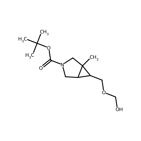 CC(C)(C)OC(=O)N1CC2C(COCO)C2(C)C1